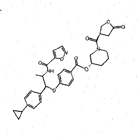 CC(NC(=O)c1ccno1)C(Oc1ccc(C(=O)O[C@H]2CCCN(C(=O)[C@H]3COC(=O)C3)C2)cc1)c1ccc(C2CC2)cc1